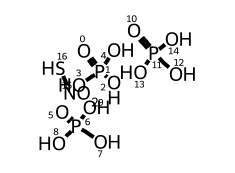 O=P(O)(O)O.O=P(O)(O)O.O=P(O)(O)O.O=[N+]([O-])S